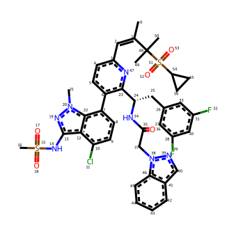 CC(=Cc1ccc(-c2ccc(Cl)c3c(NS(C)(=O)=O)nn(C)c23)c([C@H](Cc2cc(F)cc(F)c2)NC(=O)Cn2ncc3ccccc32)n1)C(C)(C)S(=O)(=O)C1CC1